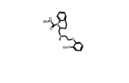 COc1ccccc1OCCN(C)CC1CCc2ccccc2N1C(=O)NC(C)(C)C